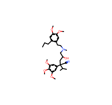 CCCc1cc(OC)c(OC)cc1CCN(C)CC(O)CC(C#N)(c1cc(OC)c(OC)c(OC)c1)C(C)C